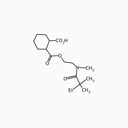 CCC(C)(C)C(=O)N(C)CCOC(=O)C1CCCCC1C(=O)O